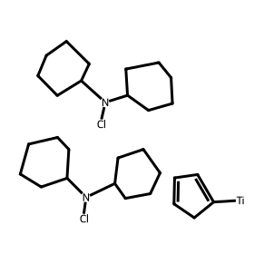 ClN(C1CCCCC1)C1CCCCC1.ClN(C1CCCCC1)C1CCCCC1.[Ti][C]1=CC=CC1